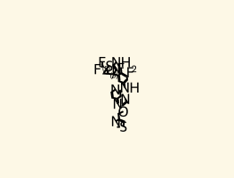 C[C@]1(c2cc(Nc3nccc4nc(OCc5cscn5)cnc34)cc(F)c2F)N=C(N)S[C@@]2(C(F)F)CC21